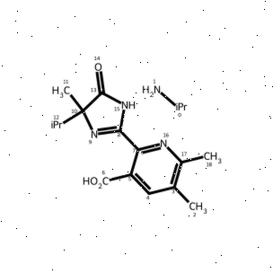 CC(C)N.Cc1cc(C(=O)O)c(C2=NC(C)(C(C)C)C(=O)N2)nc1C